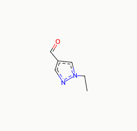 CCn1cc(C=O)cn1